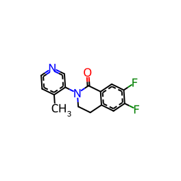 Cc1ccncc1N1CCc2cc(F)c(F)cc2C1=O